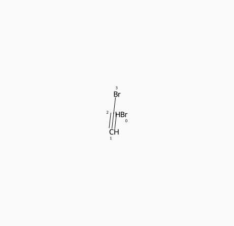 Br.C#CBr